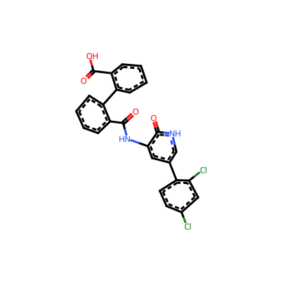 O=C(O)c1ccccc1-c1ccccc1C(=O)Nc1cc(-c2ccc(Cl)cc2Cl)c[nH]c1=O